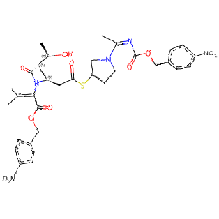 CC(=NC(=O)OCc1ccc([N+](=O)[O-])cc1)N1CCC(SC(=O)C[C@@H]2[C@@H]([C@@H](C)O)C(=O)N2C(C(=O)OCc2ccc([N+](=O)[O-])cc2)=C(C)C)C1